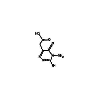 Nn1c(S)nnc(CC(=O)O)c1=O